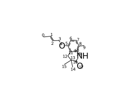 C/C=C/COc1ccc(C)c2c1CC(C)(C)C(=O)N2